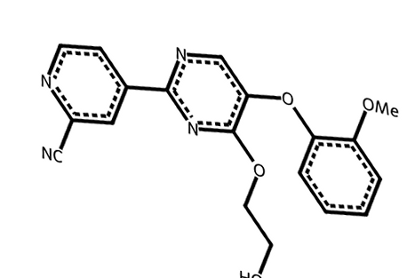 COc1ccccc1Oc1cnc(-c2ccnc(C#N)c2)nc1OCCO